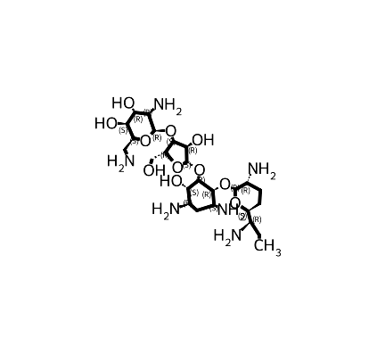 CC[C@@H](N)[C@@H]1CC[C@@H](N)[C@@H](O[C@H]2[C@H](O[C@@H]3O[C@H](CO)[C@@H](O[C@H]4O[C@@H](CN)[C@@H](O)[C@H](O)[C@H]4N)[C@H]3O)[C@@H](O)[C@H](N)C[C@@H]2N)O1